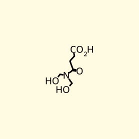 O=C(O)CCC(=O)N(CO)CO